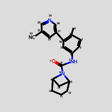 Cc1ccc(NC(=O)N2C3CCCC2C3)cc1-c1cncc(C#N)c1